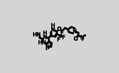 CN(C)C(=O)CN1CCC(CCOC2NC=C(C3NC(C=N)Nc4c3ccn4C)C=C2C(F)(F)F)CC1